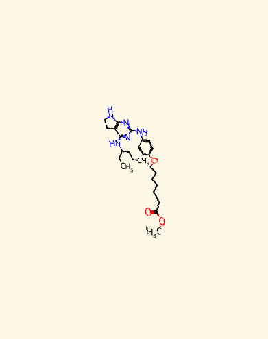 CCCC(CC)Nc1nc(Nc2ccc(OCCCCCCC(=O)OC)cc2)nc2c1CCN2